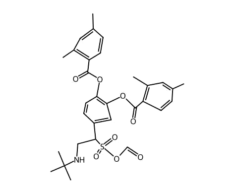 Cc1ccc(C(=O)Oc2ccc(C(CNC(C)(C)C)S(=O)(=O)OC=O)cc2OC(=O)c2ccc(C)cc2C)c(C)c1